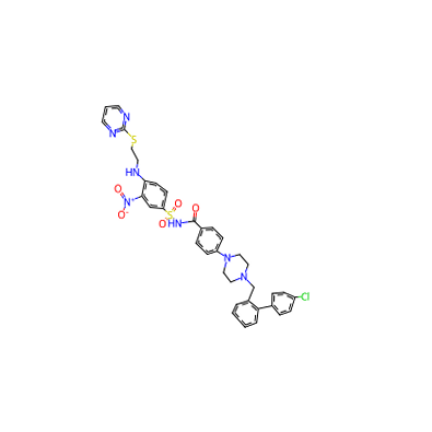 O=C(NS(=O)(=O)c1ccc(NCCSc2ncccn2)c([N+](=O)[O-])c1)c1ccc(N2CCN(Cc3ccccc3-c3ccc(Cl)cc3)CC2)cc1